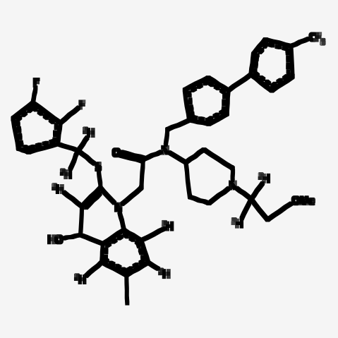 [2H]C1=C(SC([2H])([2H])c2cccc(F)c2F)N(CC(=O)N(Cc2ccc(-c3ccc(C(F)(F)F)cc3)cc2)C2CCN(C([2H])([2H])COC)CC2)c2c([2H])c([2H])c(C)c([2H])c2C1O